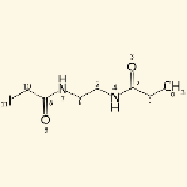 CCC(=O)NCCNC(=O)CI